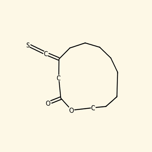 O=C1CC(=C=S)CCCCCCCCO1